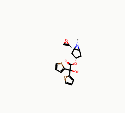 C[N@]1C2C[C@H](OC(=O)C(O)(c3cccs3)c3cccs3)C[C@]21C1=CO1